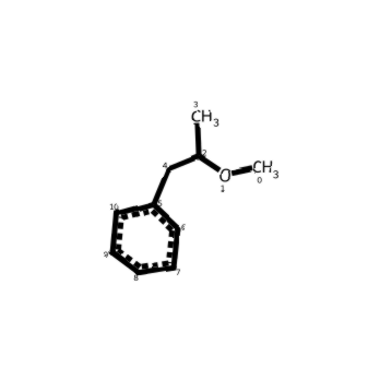 CO[C](C)Cc1ccccc1